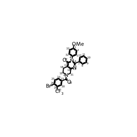 COc1ccc(-n2c(-c3ccccc3)nc3c(c2=O)CCN(C(=O)c2ccc(Br)c(C(F)(F)F)c2)C3)cc1